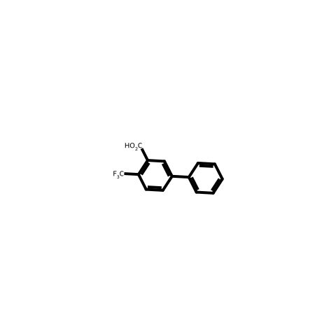 O=C(O)c1cc(-c2ccccc2)ccc1C(F)(F)F